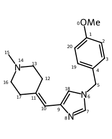 COc1ccc(Cn2cnc(C=C3CCN(C)CC3)c2)cc1